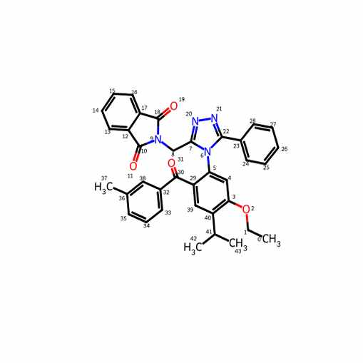 CCOc1cc(-n2c(CN3C(=O)c4ccccc4C3=O)nnc2-c2ccccc2)c(C(=O)c2cccc(C)c2)cc1C(C)C